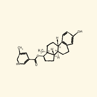 CC1=CC(C(=O)OC2CC[C@H]3[C@@H]4CCc5cc(O)ccc5[C@H]4CC[C@]23C)=CNC1